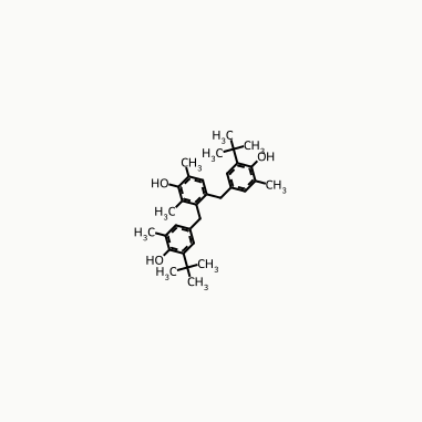 Cc1cc(Cc2cc(C)c(O)c(C)c2Cc2cc(C)c(O)c(C(C)(C)C)c2)cc(C(C)(C)C)c1O